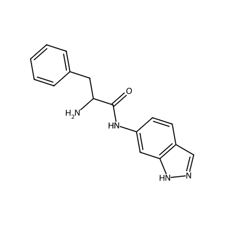 NC(Cc1ccccc1)C(=O)Nc1ccc2cn[nH]c2c1